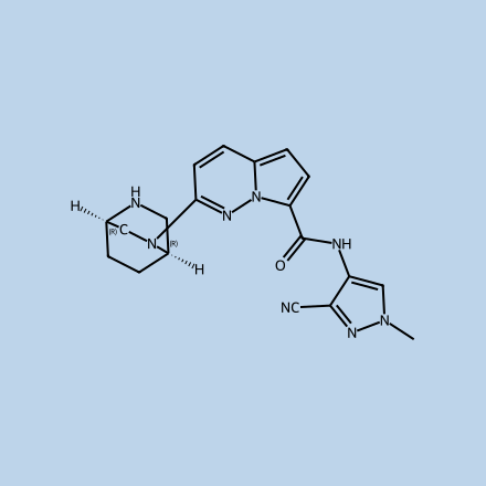 Cn1cc(NC(=O)c2ccc3ccc(N4C[C@H]5CC[C@@H]4CN5)nn23)c(C#N)n1